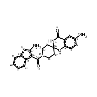 Bc1ccc2c(c1)C(=O)NC1(CCN(C(=O)c3c(N)sc4ccccc34)CC1)O2